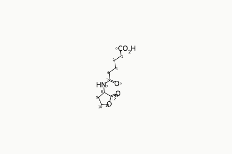 O=C(O)CCCCC(=O)NC1CCOC1=O